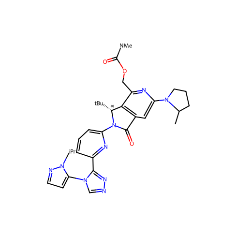 CNC(=O)OCc1nc(N2CCCC2C)cc2c1[C@@H](C(C)(C)C)N(c1cccc(-c3nncn3-c3ccnn3C(C)C)n1)C2=O